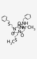 CCN1CC(=O)N2[C@@H](CCSC)C(=O)N(CCSCc3ccccc3)C[C@@H]2N1C(=O)NCc1ccccc1